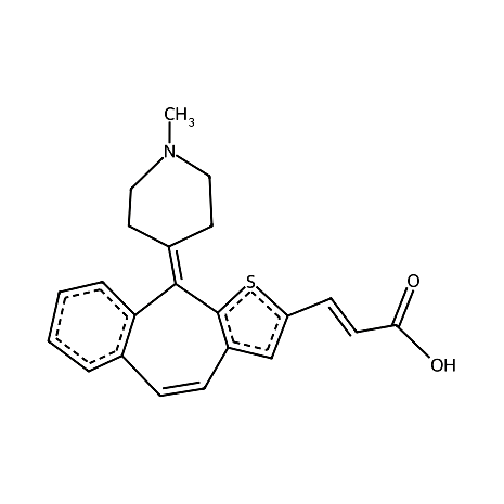 CN1CCC(=C2c3ccccc3C=Cc3cc(/C=C/C(=O)O)sc32)CC1